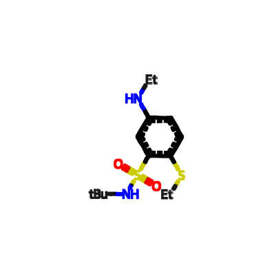 CCNc1ccc(SCC)c(S(=O)(=O)NC(C)(C)C)c1